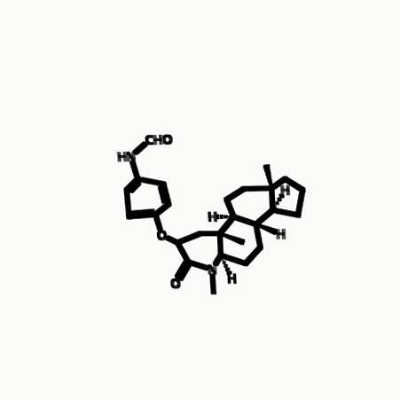 CN1C(=O)C(Oc2ccc(NC=O)cc2)C[C@]2(C)[C@H]3CC[C@]4(C)CCC[C@H]4[C@@H]3CC[C@@H]12